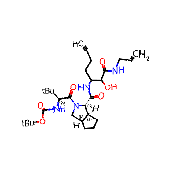 C#CCCC(NC(=O)[C@@H]1[C@H]2CCC[C@H]2CN1C(=O)[C@@H](NC(=O)OC(C)(C)C)C(C)(C)C)C(O)C(=O)NCC=C